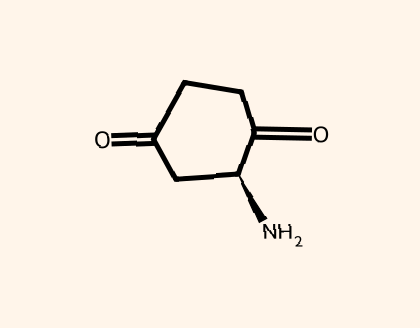 N[C@H]1CC(=O)CCC1=O